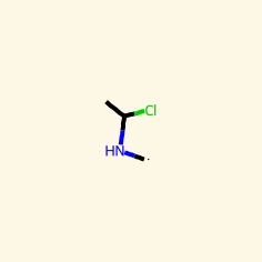 [CH2]NC(C)Cl